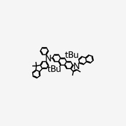 Cc1c(C)n(-c2ccc3ccccc3c2)c2cc3c(C(C)(C)C)c4ccc(N(c5ccccc5)c5ccc6c(c5)C(C)(C)c5ccccc5-6)cc4c(C(C)(C)C)c3cc12